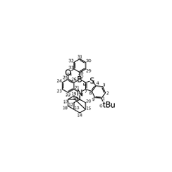 CC(C)(C)c1ccc2sc3c(c2c1)N(C12CC4CC(CC(C4)C1)C2)c1cccc2c1B3c1ccccc1O2